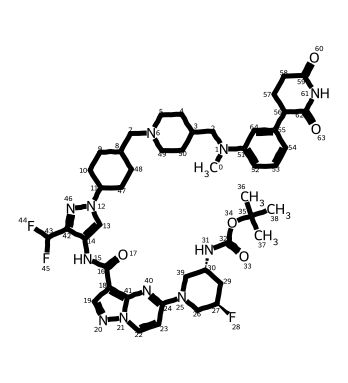 CN(CC1CCN(CC2CCC(n3cc(NC(=O)c4cnn5ccc(N6C[C@H](F)C[C@@H](NC(=O)OC(C)(C)C)C6)nc45)c(C(F)F)n3)CC2)CC1)c1cccc(C2CCC(=O)NC2=O)c1